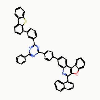 c1ccc(-c2nc(-c3ccc(-c4ccc5c(c4)nc(-c4cccc6ccccc46)c4oc6ccccc6c45)cc3)nc(-c3cccc(-c4cccc5c4sc4ccccc45)c3)n2)cc1